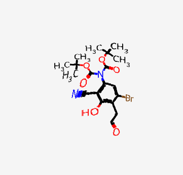 CC(C)(C)OC(=O)N(C(=O)OC(C)(C)C)c1cc(Br)c(CC=O)c(O)c1C#N